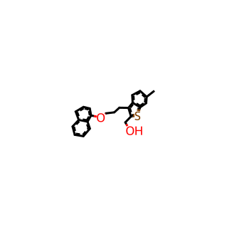 Cc1ccc2c(CCCOc3cccc4ccccc34)c(CO)sc2c1